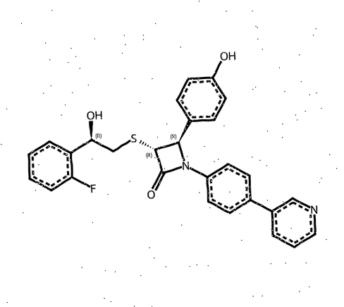 O=C1[C@H](SC[C@H](O)c2ccccc2F)[C@@H](c2ccc(O)cc2)N1c1ccc(-c2cccnc2)cc1